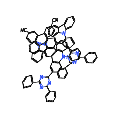 N#Cc1ccc(-n2c3ccccc3c3cc(-c4cc(-c5nc(-c6ccccc6)nc(-c6ccccc6)n5)ccc4-n4c5ccccc5c5ccccc54)ccc32)c(-c2cc(C#N)ccc2-n2c3ccccc3c3cc(-c4cc(-c5nc(-c6ccccc6)nc(-c6ccccc6)n5)ccc4-n4c5ccccc5c5ccccc54)ccc32)c1